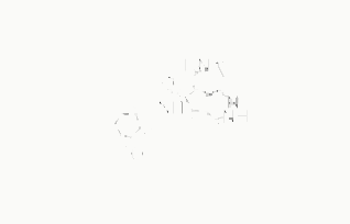 COc1cccc(CNC(=O)c2cc3c[nH]nc4c-3c2CNC=C4)c1